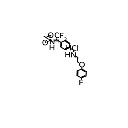 CS(=O)(=O)N[C@@H](c1ccc(CNCCOc2ccc(F)cc2)cc1)C(F)(F)F.Cl